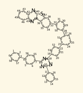 c1ccc(-c2ccc(-c3nc(-c4ccccc4)nc(-c4ccc(-c5cccc(-c6cccc(-c7ccc8c(c7)sc7nc9ccccc9nc78)c6)c5)cc4)n3)cc2)cc1